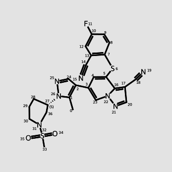 Cc1c(-c2cc(Sc3ccc(F)cc3C#N)c3c(C#N)cnn3c2)cnn1[C@H]1CCCN(S(C)(=O)=O)C1